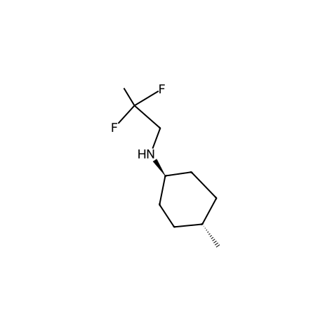 CC(F)(F)CN[C@H]1CC[C@H](C)CC1